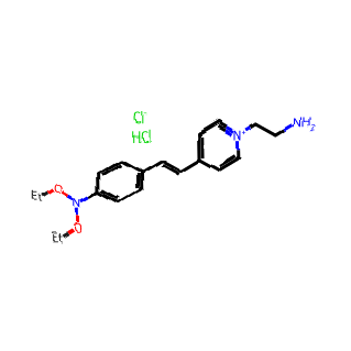 CCON(OCC)c1ccc(C=Cc2cc[n+](CCN)cc2)cc1.Cl.[Cl-]